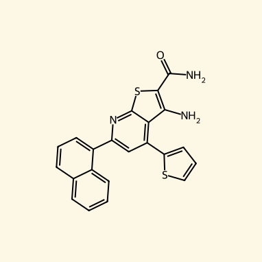 NC(=O)c1sc2nc(-c3cccc4ccccc34)cc(-c3cccs3)c2c1N